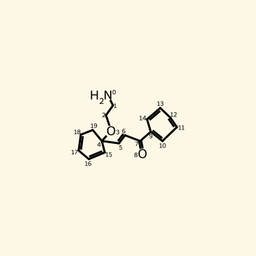 NCCOC1(C=CC(=O)c2ccccc2)C=CC=CC1